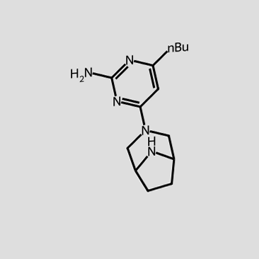 CCCCc1cc(N2CC3CCC(C2)N3)nc(N)n1